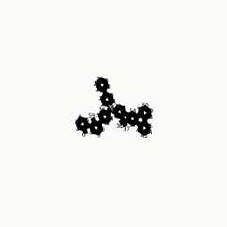 Cc1ccccc1-c1cccc(-c2ccc(N(c3ccc(-c4ccccc4)cc3)c3ccc4c(c3)C(C)(C)c3cc5c6ccccc6c6ccccc6c5cc3-4)cc2)c1C